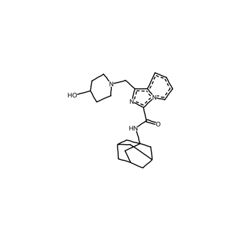 O=C(NC12CC3CC(CC(C3)C1)C2)c1nc(CN2CCC(O)CC2)c2ccccn12